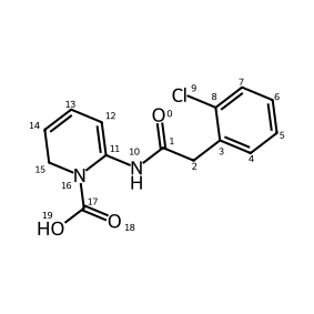 O=C(Cc1ccccc1Cl)NC1=CC=CCN1C(=O)O